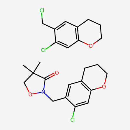 CC1(C)CON(Cc2cc3c(cc2Cl)OCCC3)C1=O.ClCc1cc2c(cc1Cl)OCCC2